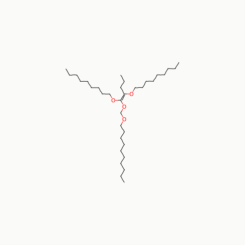 CCCCCCCCCCOCOC(OCCCCCCCCC)=C(CCC)OCCCCCCCCC